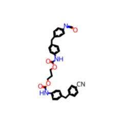 N#Cc1ccc(Cc2ccc(NC(=O)OCCCOC(=O)Nc3ccc(Cc4ccc(N=C=O)cc4)cc3)cc2)cc1